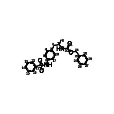 CC(Cc1ccc(NS(=O)(=O)c2ccccc2)cc1)NC(=O)OCc1ccccc1